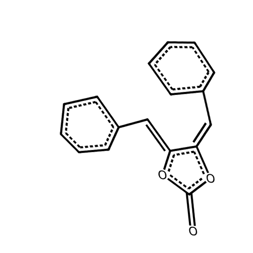 O=c1oc(=Cc2ccccc2)c(=Cc2ccccc2)o1